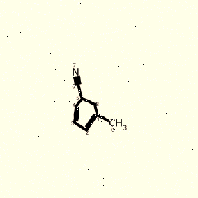 CC1=CC=CC(C#N)C1